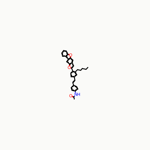 CCCCCc1cc(C=Cc2ccc(NC(C)=O)cc2)ccc1-c1cc2cc3oc4ccccc4c3cc2o1